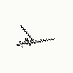 CCCCCCCCCCCCCCOCC(CNC(=O)C(CCCCNC(=O)O)NC(=O)O)OCCCCCCCCCCCCCC